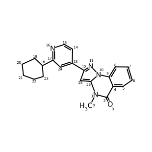 Cn1c(=O)c2ccccc2n2nc(-c3ccnc(C4CCCCC4)c3)cc12